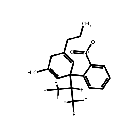 CCCC1=CC(c2ccccc2[N+](=O)[O-])(C(F)(C(F)(F)F)C(F)(F)F)C=C(C)[CH]1